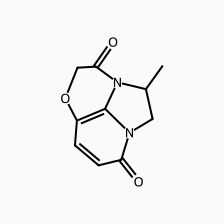 CC1Cn2c3c(ccc2=O)OCC(=O)N31